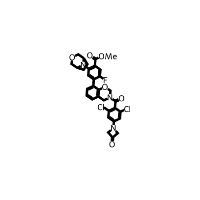 COC(=O)c1cc(F)c(-c2cccc3c2OCN(C(=O)c2c(Cl)cc(N4CC(=O)C4)cc2Cl)C3)cc1N1C2CCC1COC2